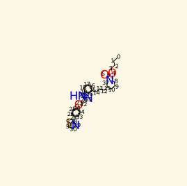 CCCCOC(=O)N1CCCC(CCCc2cccc3[nH]c(COc4ccc(C5=NCCS5)cc4)nc23)C1